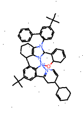 CC(C)(C)c1ccc(N2C3=C4C(CCC3)c3cc(C(C)(C)C)cc5c3[N+]3(OC6CC=CC=C6C2N43)[N+]2=C5CC(C3C=CCCC3)C=C2)c(-c2ccccc2)c1